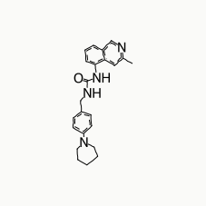 Cc1cc2c(NC(=O)NCc3ccc(N4CCCCC4)cc3)cccc2cn1